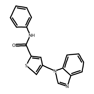 O=C(Nc1ccccc1)c1cc(-n2cnc3ccccc32)cs1